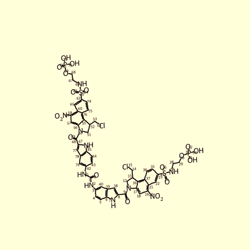 O=C(Nc1ccc2[nH]c(C(=O)N3CC(CCl)c4c3cc([N+](=O)[O-])c3cc(S(=O)(=O)NCCOP(=O)(O)O)ccc43)cc2c1)Nc1ccc2[nH]c(C(=O)N3CC(CCl)c4c3cc([N+](=O)[O-])c3cc(S(=O)(=O)NCCOP(=O)(O)O)ccc43)cc2c1